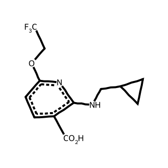 O=C(O)c1ccc(OCC(F)(F)F)nc1NCC1CC1